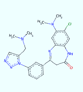 CN(C)Cc1cnnn1-c1cccc(C2=Nc3cc(N(C)C)c(Cl)cc3NC(=O)C2)c1